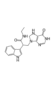 CCNC(=O)C(CN1CNc2c1nc[nH]c2=O)c1c[nH]c2ccccc12